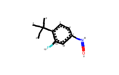 CC(C)(C)c1ccc(N=O)cc1F